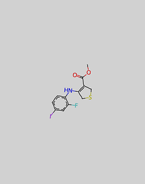 COC(=O)C1=C(Nc2ccc(I)cc2F)CSC1